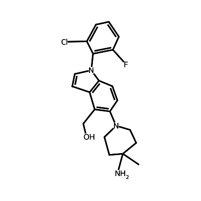 CC1(N)CCN(c2ccc3c(ccn3-c3c(F)cccc3Cl)c2CO)CC1